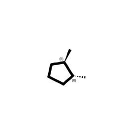 C[C@@H]1CCC[C@H]1C